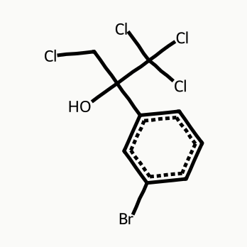 OC(CCl)(c1cccc(Br)c1)C(Cl)(Cl)Cl